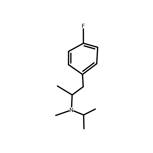 CC(C)N(C)C(C)Cc1ccc(F)cc1